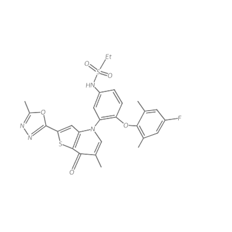 CCS(=O)(=O)Nc1ccc(Oc2c(C)cc(F)cc2C)c(-n2cc(C)c(=O)c3sc(-c4nnc(C)o4)cc32)c1